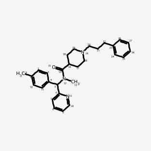 Cc1ccc(C(c2ccccn2)N(C)C(=O)C2CCN(CCCc3ccccc3)CC2)cc1